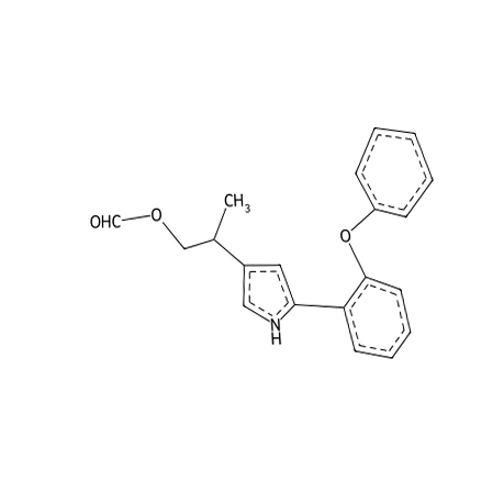 CC(COC=O)c1c[nH]c(-c2ccccc2Oc2ccccc2)c1